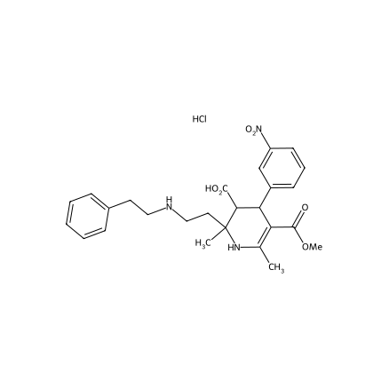 COC(=O)C1=C(C)NC(C)(CCNCCc2ccccc2)C(C(=O)O)C1c1cccc([N+](=O)[O-])c1.Cl